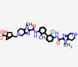 Cc1c(NC(=O)c2nc3c(n2C)CCN(CC2=C4CC4(C(=O)O)CC2)C3)cccc1-c1cccc(NC(=O)c2nc3c(n2C)CCNC3)c1Cl